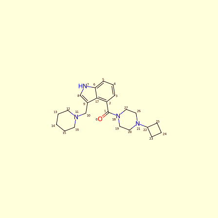 O=C(c1cccc2[nH]cc(CN3CCCCC3)c12)N1CCN(C2CCC2)CC1